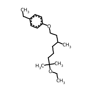 CCOC(C)(C)CCCC(C)CCOc1ccc(CC)cc1